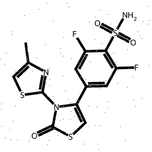 Cc1csc(-n2c(-c3cc(F)c(S(N)(=O)=O)c(F)c3)csc2=O)n1